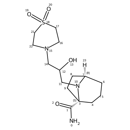 NC(=O)[C@]12C[CH]C[C@H](CC1)N2CC(O)CN1CCS(=O)(=O)CC1